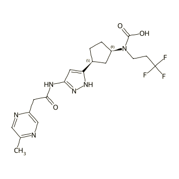 Cc1cnc(CC(=O)Nc2cc([C@H]3CC[C@@H](N(CCC(F)(F)F)C(=O)O)C3)[nH]n2)cn1